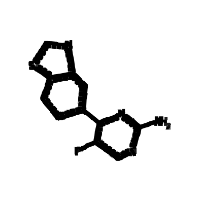 Nc1ncc(F)c(-c2ccc3scnc3c2)n1